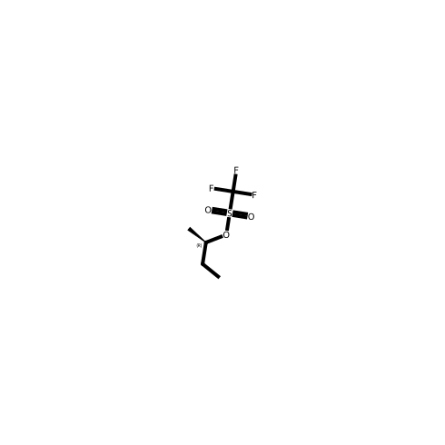 CC[C@@H](C)OS(=O)(=O)C(F)(F)F